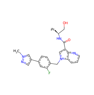 CC(C)[C@@H](CO)NC(=O)c1cn(Cc2ccc(-c3cnn(C)c3)cc2F)c2cccnc12